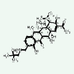 C[C@H]1c2ccc(CNCC(C)(C)C)c(O)c2C(=O)C2=C(O)[C@]3(O)C=C(C(N)=O)C(O)C(N(C)C)[C@@H]3[C@@H](O)[C@@H]21